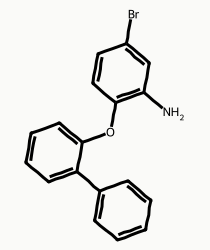 Nc1cc(Br)ccc1Oc1ccccc1-c1ccccc1